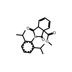 COC(=O)C12C=CC=CC1C(=O)N(c1c(C(C)C)cccc1C(C)C)C2=O